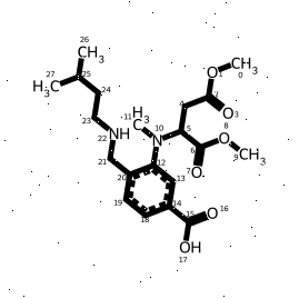 COC(=O)CC(C(=O)OC)N(C)c1cc(C(=O)O)ccc1CNCCC(C)C